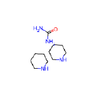 C1CCNCC1.C1CCNCC1.NC(N)=O